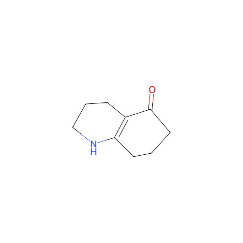 O=C1CCCC2=C1CCCN2